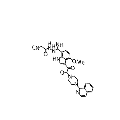 [C-]#[N+]CC(=O)NNC(=N)c1ccc(OC)c2c(C(=O)C(=O)N3CCN(c4nccc5ccccc45)CC3)c[nH]c12